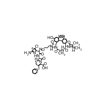 CN[C@H](C)C(=O)N[C@H]1C(=O)N[C@@H](C)C(=O)N[C@H](C(=O)NCCCO/N=C(\C(=O)N[C@@H]2C(=O)N3C(C(=O)O)=C(C[n+]4ccccc4)CS[C@H]23)c2nc(N)sc2Cl)c2cc(O)cc(O)c2-c2cc1ccc2O